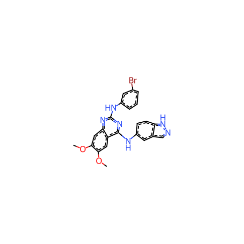 COc1cc2nc(Nc3cccc(Br)c3)nc(Nc3ccc4[nH]ncc4c3)c2cc1OC